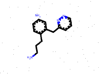 N.NCCCc1ccccc1Cc1cccnn1